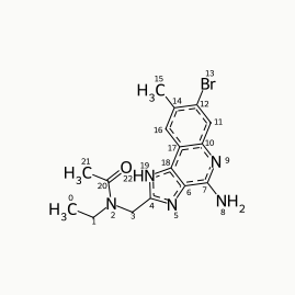 CCN(Cc1nc2c(N)nc3cc(Br)c(C)cc3c2[nH]1)C(C)=O